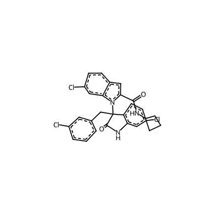 O=C(NC1CCC1)c1cc2ccc(Cl)cc2n1C1(Cc2cccc(Cl)c2)C(=O)Nc2cc(Cl)ccc21